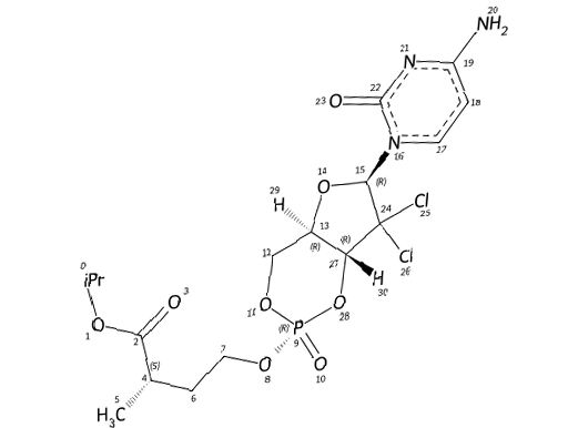 CC(C)OC(=O)[C@@H](C)CCO[P@]1(=O)OC[C@H]2O[C@@H](n3ccc(N)nc3=O)C(Cl)(Cl)[C@@H]2O1